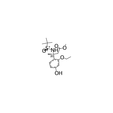 CCOc1cc(O)ccc1[C@@](C)(CC(=O)OC)N[S@@+]([O-])C(C)(C)C